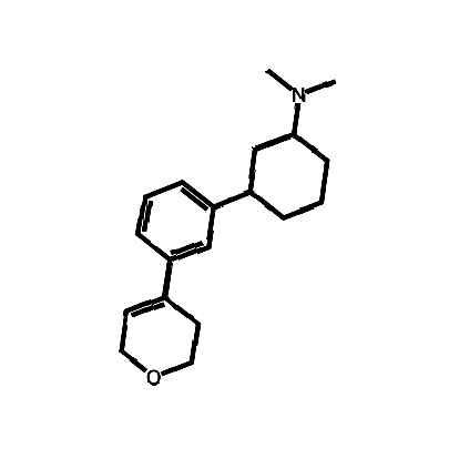 CN(C)C1CCCC(c2cccc(C3=CCOCC3)c2)C1